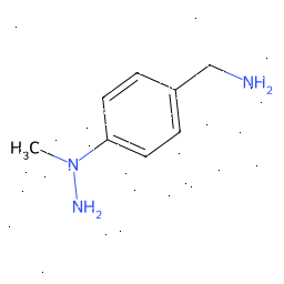 CN(N)c1ccc(CN)cc1